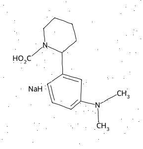 CN(C)c1cccc(C2CCCCN2C(=O)O)c1.[NaH]